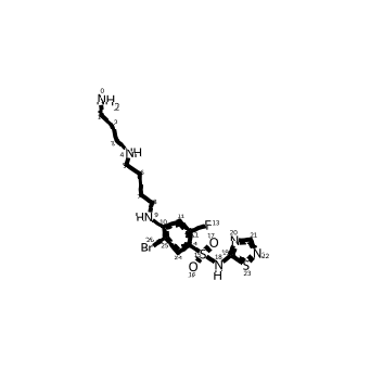 NCCCNCCCCNc1cc(F)c(S(=O)(=O)Nc2ncns2)cc1Br